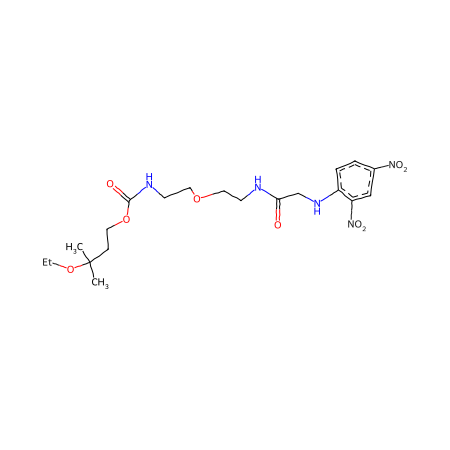 CCOC(C)(C)CCOC(=O)NCCOCCNC(=O)CNc1ccc([N+](=O)[O-])cc1[N+](=O)[O-]